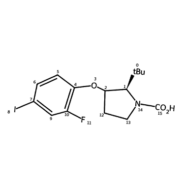 CC(C)(C)[C@@H]1C(Oc2ccc(I)cc2F)CCN1C(=O)O